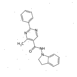 Cc1nc(-c2ccccc2)ncc1C(=O)NN1CCc2ccccc21